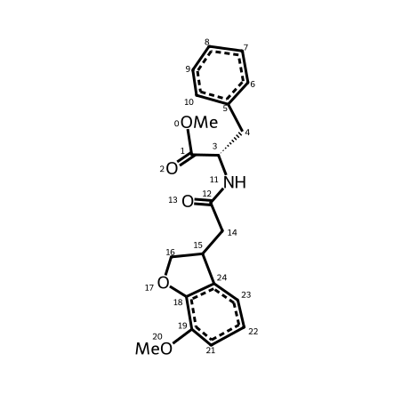 COC(=O)[C@H](Cc1ccccc1)NC(=O)CC1COc2c(OC)cccc21